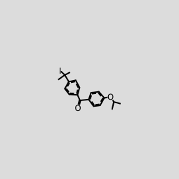 CC(C)Oc1ccc(C(=O)c2ccc(C(C)(C)I)cc2)cc1